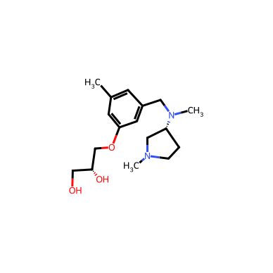 Cc1cc(CN(C)[C@@H]2CCN(C)C2)cc(OC[C@H](O)CO)c1